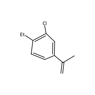 C=C(C)c1ccc(CC)c(Cl)c1